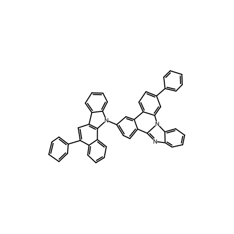 c1ccc(-c2ccc3c4cc(-n5c6ccccc6c6cc(-c7ccccc7)c7ccccc7c65)ccc4c4nc5ccccc5n4c3c2)cc1